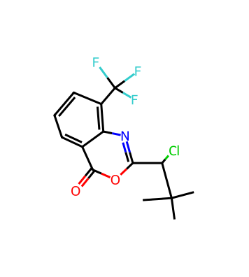 CC(C)(C)C(Cl)c1nc2c(C(F)(F)F)cccc2c(=O)o1